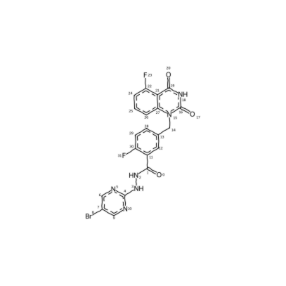 O=C(NNc1ncc(Br)cn1)c1cc(Cn2c(=O)[nH]c(=O)c3c(F)cccc32)ccc1F